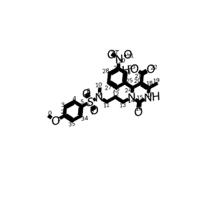 COc1ccc(S(=O)(=O)N(C)CCCN2C(=O)NC(C)=C(C(=O)O)C2c2cccc([N+](=O)[O-])c2)cc1